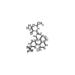 CC(=O)C(CC(C)C)c1cc(/C=C\c2ccc(Cl)cc2)cc(-c2ccc(C(F)(F)F)cc2)c1